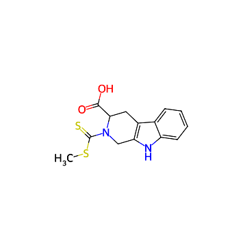 CSC(=S)N1Cc2[nH]c3ccccc3c2CC1C(=O)O